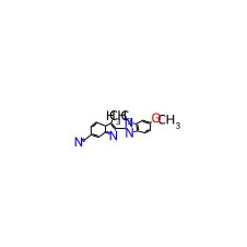 COc1ccc2nc(C3=C(C)C4C=CC(C#N)=CC4=N3)n(C)c2c1